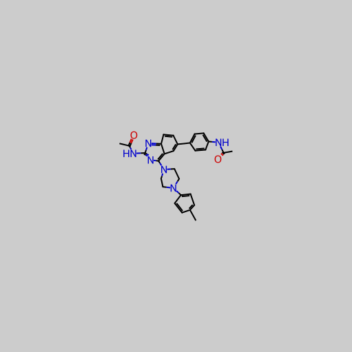 CC(=O)Nc1ccc(-c2ccc3nc(NC(C)=O)nc(N4CCN(c5ccc(C)cc5)CC4)c3c2)cc1